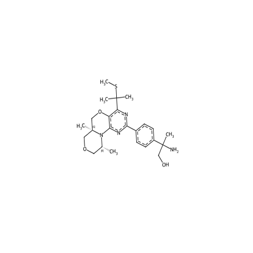 CSC(C)(C)c1nc(-c2ccc(C(C)(N)CO)cc2)nc2c1OC[C@]1(C)COC[C@@H](C)N21